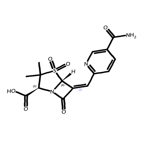 CC1(C)[C@H](C(=O)O)N2C(=O)/C(=C/c3ccc(C(N)=O)cn3)[C@H]2S1(=O)=O